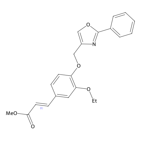 CCOc1cc(/C=C/C(=O)OC)ccc1OCc1coc(-c2ccccc2)n1